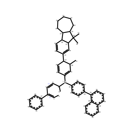 C/C=C(\C=C/C(C)N(C1=CC(C)C(C2=CC3C(C=C2)C2CCCCCC2C3(C)C)C=C1)c1ccc(-c2cccc3ccccc23)cc1)c1ccccc1